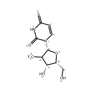 O=c1[nH]c(=S)ccn1[C@@H]1O[C@H](CO)[C@H](O)C1C(F)(F)F